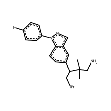 CC(C)CC(c1ccc2c(cnn2-c2ccc(F)cc2)c1)C(C)(C)CN